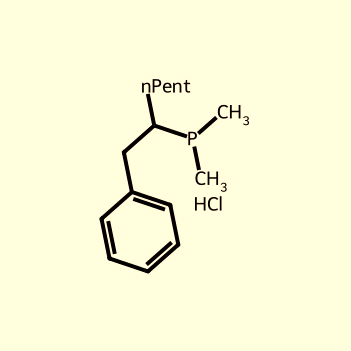 CCCCCC(Cc1ccccc1)P(C)C.Cl